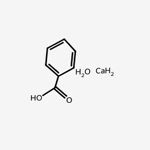 O.O=C(O)c1ccccc1.[CaH2]